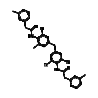 CCc1cc(Cc2cc(CC)c(NC(=O)Cc3cccc(C)c3)c(CC)c2)cc(C)c1NC(=O)Cc1cccc(C)c1